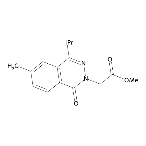 COC(=O)Cn1nc(C(C)C)c2cc(C)ccc2c1=O